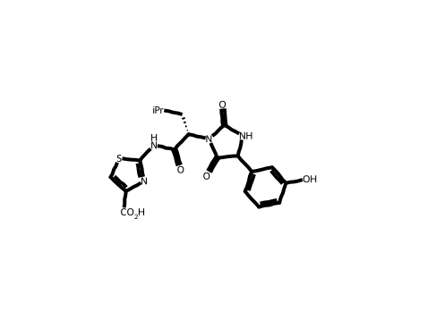 CC(C)C[C@@H](C(=O)Nc1nc(C(=O)O)cs1)N1C(=O)NC(c2cccc(O)c2)C1=O